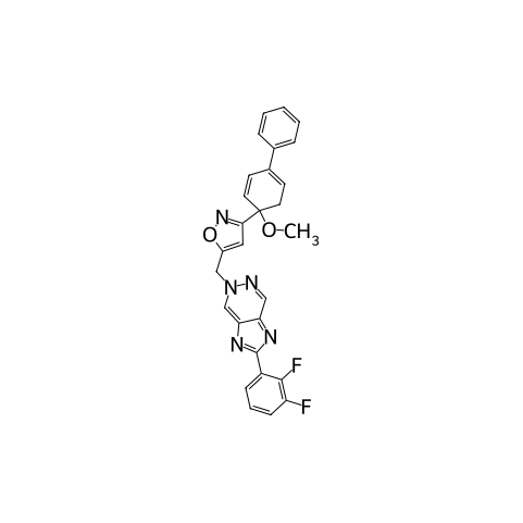 COC1(c2cc(Cn3cc4nc(-c5cccc(F)c5F)nc-4cn3)on2)C=CC(c2ccccc2)=CC1